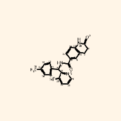 O=C1CCc2cc(C(=O)NC(c3ccc(C(F)(F)F)cc3)c3ncccc3F)ccc2N1